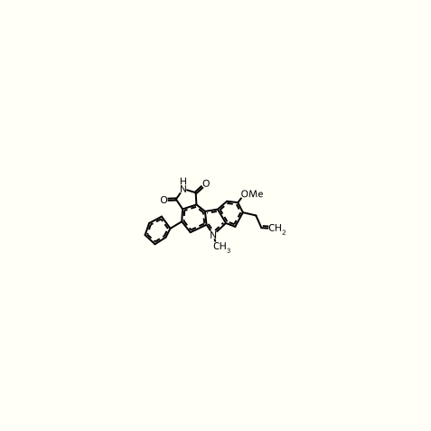 C=CCc1cc2c(cc1OC)c1c3c(c(-c4ccccc4)cc1n2C)C(=O)NC3=O